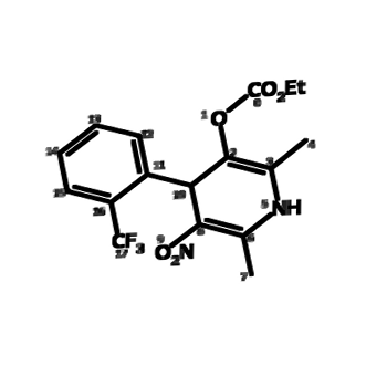 CCOC(=O)OC1=C(C)NC(C)=C([N+](=O)[O-])C1c1ccccc1C(F)(F)F